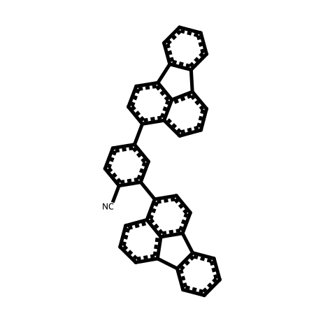 N#Cc1ccc(-c2ccc3c4c(cccc24)-c2ccccc2-3)cc1-c1ccc2c3c(cccc13)-c1ccccc1-2